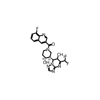 CC1C(C(F)F)=Nc2ncnn2C1[C@@H]1CN(C(=O)c2cnc3c(F)cccc3c2)CC[C@H]1O